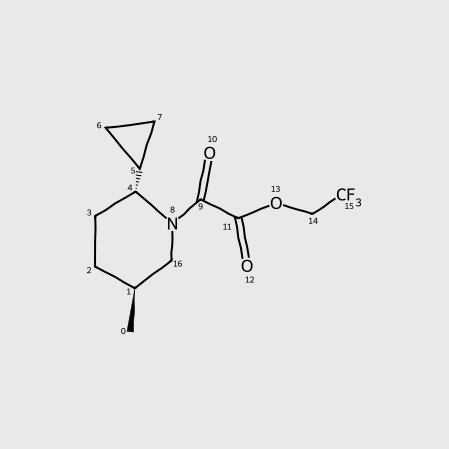 C[C@H]1CC[C@H](C2CC2)N(C(=O)C(=O)OCC(F)(F)F)C1